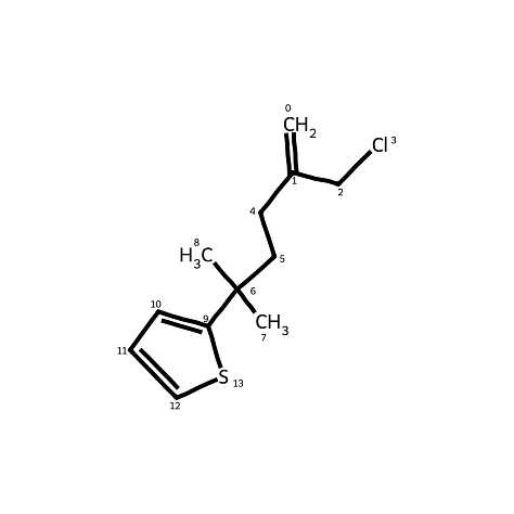 C=C(CCl)CCC(C)(C)c1cccs1